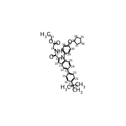 CCOC(=O)CNC(=O)c1cc2cc(-c3ccc(C(C)(C)C)cc3)ccc2n1-c1ccc(OC2CCCC2)cc1